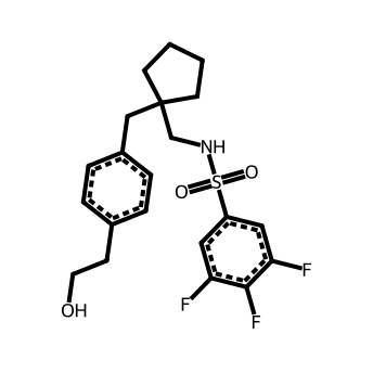 O=S(=O)(NCC1(Cc2ccc(CCO)cc2)CCCC1)c1cc(F)c(F)c(F)c1